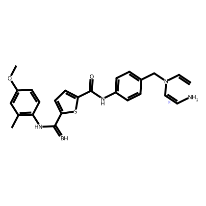 B=C(Nc1ccc(OC)cc1C)c1ccc(C(=O)Nc2ccc(CN(C=C)/C=C\N)cc2)s1